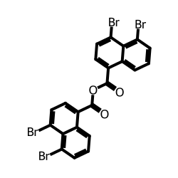 O=C(OC(=O)c1ccc(Br)c2c(Br)cccc12)c1ccc(Br)c2c(Br)cccc12